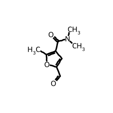 Cc1oc(C=O)cc1C(=O)N(C)C